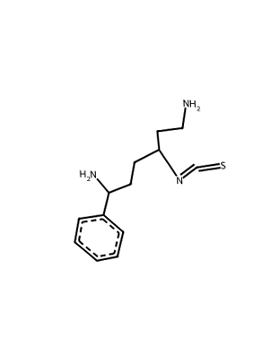 NCCC(CCC(N)c1ccccc1)N=C=S